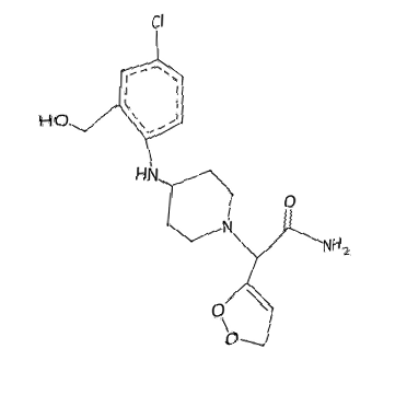 NC(=O)C(C1=CCOO1)N1CCC(Nc2ccc(Cl)cc2CO)CC1